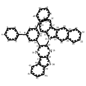 c1ccc(-c2cc(-c3ccccc3)cc(-c3nc4c(nc3-n3c5ccccc5c5cc6ccccc6cc53)sc3ccccc34)c2)cc1